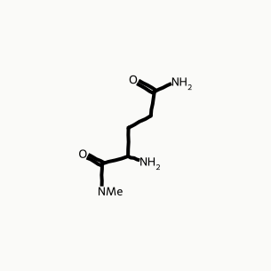 CNC(=O)C(N)CCC(N)=O